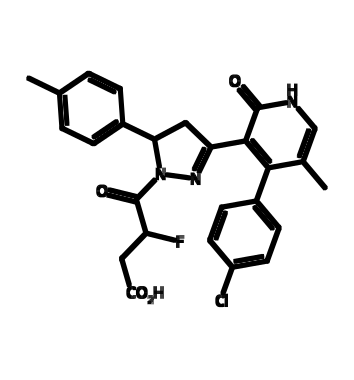 Cc1ccc(C2CC(c3c(-c4ccc(Cl)cc4)c(C)c[nH]c3=O)=NN2C(=O)C(F)CC(=O)O)cc1